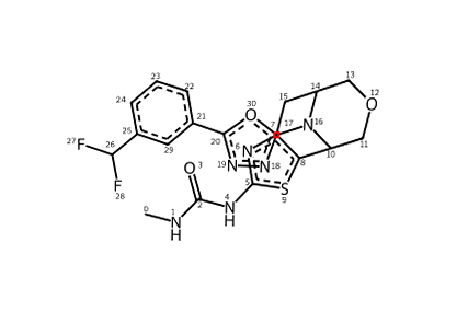 CNC(=O)Nc1nc2c(s1)C1COCC(C2)N1c1nnc(-c2cccc(C(F)F)c2)o1